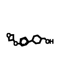 OCC1CCC(c2ccc(OC3COC3)cc2)CC1